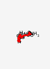 Cc1ncsc1-c1ccc(CNC(=O)[C@@H]2C[C@@H](O)CN2C(=O)[C@@H](NC(=O)CCCCCC#CCOC[C@H](CCC(N)=O)NC(=O)OC(C)(C)C)C(C)(C)C)cc1